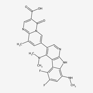 CNc1cc(F)c(F)c2c1[nH]c1ncc(-c3cc(C)c4ncc(C(=O)O)c(=O)n4c3)c(N(C)C)c12